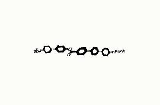 CCCCC[C@H]1CC[C@H](c2ccc(-c3ccc(C(=O)Oc4ccc([C@H]5CC[C@H](CCCC)CC5)cc4)cc3)cc2)CC1